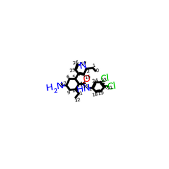 CCc1cc(C2CC(N)CC(CC)C2C(=O)Nc2ccc(Cl)c(Cl)c2)ccn1